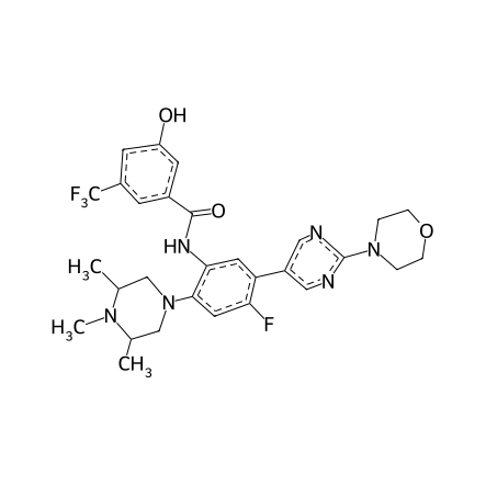 CC1CN(c2cc(F)c(-c3cnc(N4CCOCC4)nc3)cc2NC(=O)c2cc(O)cc(C(F)(F)F)c2)CC(C)N1C